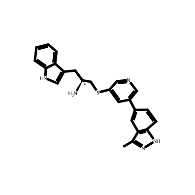 Cc1n[nH]c2ccc(-c3cncc(SC[C@@H](N)Cc4c[nH]c5ccccc45)c3)cc12